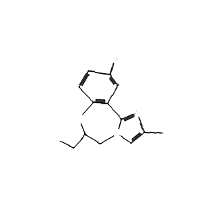 FCC1Cn2cc(I)nc2-c2cc(Br)ccc2O1